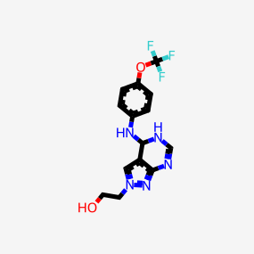 OCCn1cc2c(n1)N=CNC2Nc1ccc(OC(F)(F)F)cc1